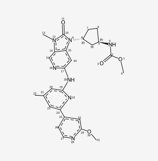 COC(=O)N[C@@H]1CC[C@@H](n2c(=O)n(C)c3cnc(Nc4cc(C)cc(-c5ccnc(OC)c5)n4)cc32)C1